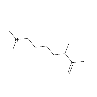 C=C(C)C(C)CCCCN(C)C